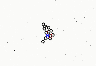 CC1(c2ccccc2)c2ccccc2-c2ccc(-c3ccc(N(c4ccc(-c5ccccc5)cc4-c4ccccc4)c4ccccc4-c4cccc5cccc(-c6ccccc6)c45)cc3)cc21